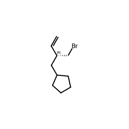 C=C[C@H](CBr)CC1CCCC1